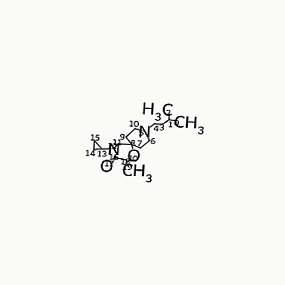 CC(C)CCN1CCC2(CC1)CN(C1CC1)C(=O)C(C)O2